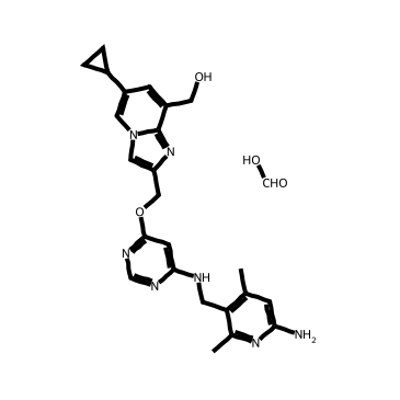 Cc1cc(N)nc(C)c1CNc1cc(OCc2cn3cc(C4CC4)cc(CO)c3n2)ncn1.O=CO